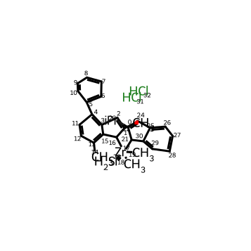 CC1=Cc2c(-c3ccccc3)ccc(C)c2[CH]1[Zr]([CH3])([CH3])(=[SiH2])[CH]1C(C(C)C)=Cc2ccccc21.Cl.Cl